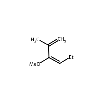 C=C(C)/C(=C\CC)OC